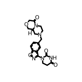 O=C1CCN(c2noc3ccc(CN4CCN5C(=O)COC[C@H]5C4)cc23)C(=O)N1